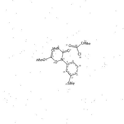 CNC(=O)N(OC(=O)OC)c1cccc(SC)c1.COC(=O)Cl